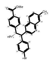 CCC[C@H](c1ccc(C(=O)OC)cc1)C(c1ccc(Br)cc1)c1cnc2cc(C)ccc2c1